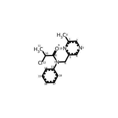 Cc1cncc(CN(C(=O)C(C)Cl)c2ccccc2)n1